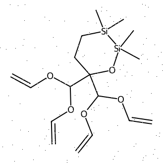 C=COC(OC=C)C1(C(OC=C)OC=C)CC[Si](C)(C)[Si](C)(C)O1